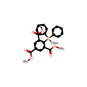 COS(c1ccccc1)(c1ccccc1)c1c(C(=O)OC(C)(C)C)cc(C(=O)OC(C)(C)C)cc1C(=O)OC(C)(C)C